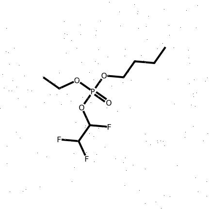 CCCCOP(=O)(OCC)OC(F)C(F)F